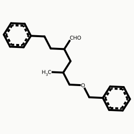 CC(COCc1ccccc1)CC(C=O)CCc1ccccc1